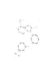 CCS(=O)(=O)c1cccc(Oc2cccc(-c3c(C(C)C)nc4c(C(F)(F)F)cccn34)c2)c1